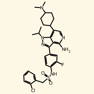 CC(C)n1nc(-c2ccc(NS(=O)(=O)Cc3ccccc3Cl)c(F)c2)c2c(N)ncc(C3CCC(N(C)C)CC3)c21